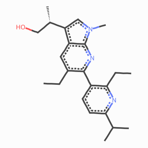 CCc1cc2c([C@@H](C)CO)cn(C)c2nc1-c1ccc(C(C)C)nc1CC